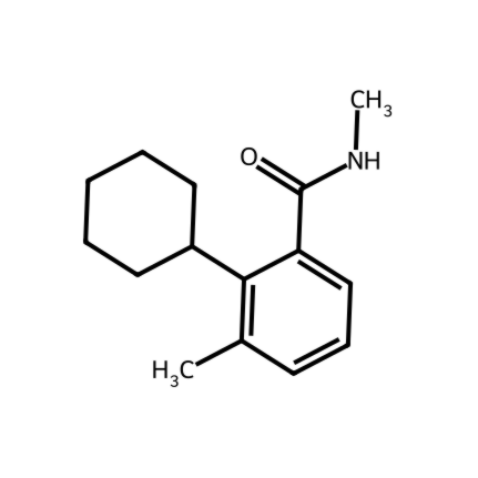 CNC(=O)c1cccc(C)c1C1CCCCC1